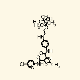 Cc1nc(C(=O)Nc2ccc(NCCO[Si](C)(C)C(C)(C)C)cc2)c(C(=O)Nc2ccc(Cl)cn2)s1